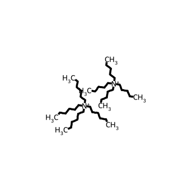 CCCCCC[N+](CCCCCC)(CCCCCC)CCCCCC.CCCCC[N+](CCCCC)(CCCCC)CCCCC